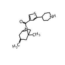 C=C1CC2CC(C)(C1)CN2C(=O)c1csc(C2CCNCC2)c1